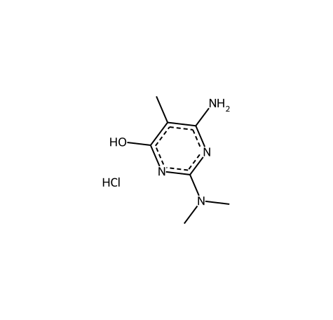 Cc1c(N)nc(N(C)C)nc1O.Cl